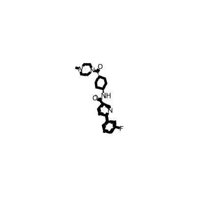 CN1CCN(C(=O)[C@H]2CC[C@H](NC(=O)c3ccc(-c4cccc(F)c4)nc3)CC2)CC1